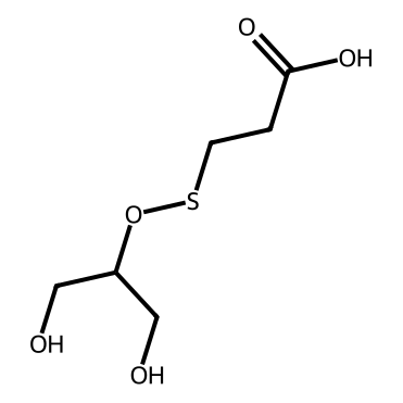 O=C(O)CCSOC(CO)CO